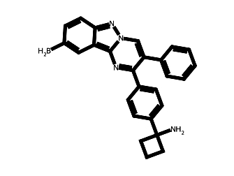 Bc1ccc2nn3cc(-c4ccccc4)c(-c4ccc(C5(N)CCC5)cc4)nc3c2c1